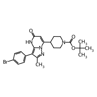 Cc1nn2c(C3CCN(C(=O)OC(C)(C)C)CC3)cc(=O)[nH]c2c1-c1ccc(Br)cc1